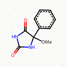 COC1(c2ccccc2)NC(=O)NC1=O